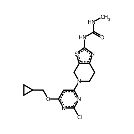 CNC(=O)Nc1nc2c(s1)CN(c1cc(OCC3CC3)nc(Cl)n1)CC2